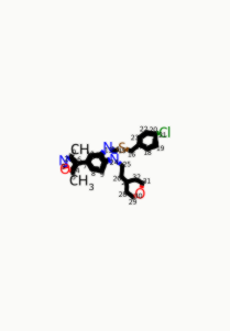 Cc1noc(C)c1-c1ccc2c(c1)nc(SCc1ccc(Cl)cc1)n2CCC1CCOCC1